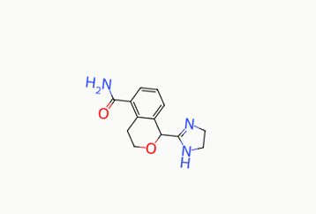 NC(=O)c1cccc2c1CCOC2C1=NCCN1